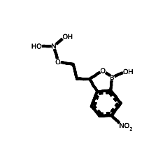 O=[N+]([O-])c1ccc2c(c1)B(O)OC2CCON(O)O